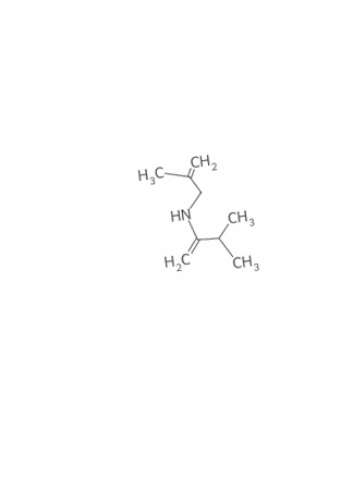 C=C(C)CNC(=C)C(C)C